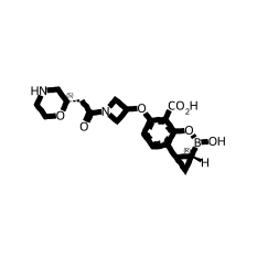 O=C(O)c1c(OC2CN(C(=O)C[C@H]3CNCCO3)C2)ccc2c1OB(O)[C@@H]1CC21